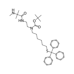 CNC(C)(C)C(=O)NCCN(CCCCCCSC(c1ccccc1)(c1ccccc1)c1ccccc1)C(=O)OC(C)(C)C